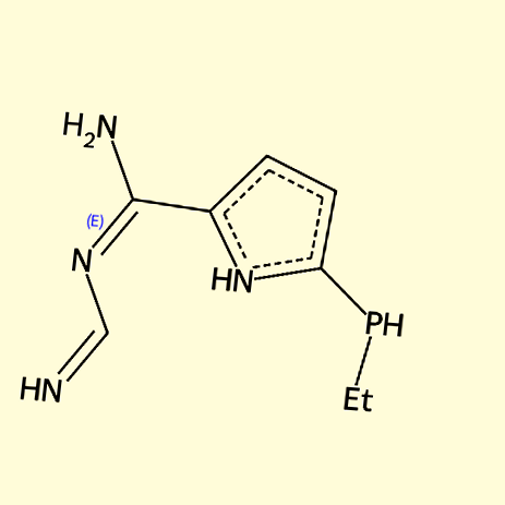 CCPc1ccc(/C(N)=N\C=N)[nH]1